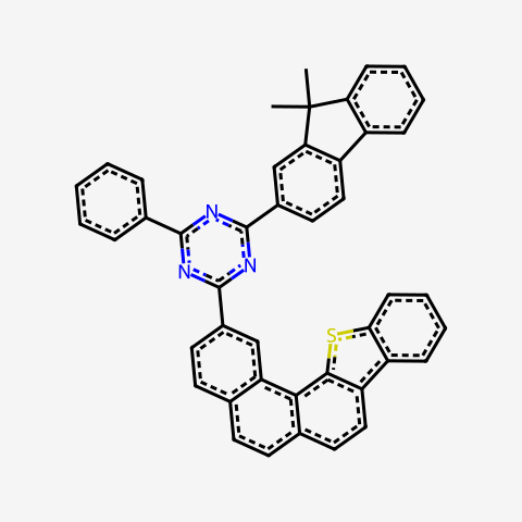 CC1(C)c2ccccc2-c2ccc(-c3nc(-c4ccccc4)nc(-c4ccc5ccc6ccc7c8ccccc8sc7c6c5c4)n3)cc21